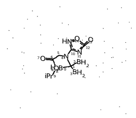 BC(B)(B)N(CC(=O)OC(C)C)c1nc(=O)o[nH]1